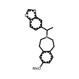 COc1ccc2c(c1)CCN(C(C)c1ccc3scnc3c1)CC2